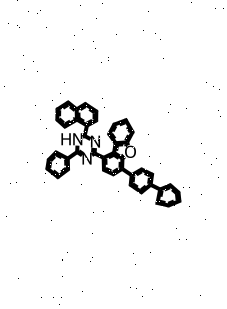 c1ccc(C2=NC(c3ccc(-c4ccc(-c5ccccc5)cc4)c4oc5ccccc5c34)=NC(c3cccc4ccccc34)N2)cc1